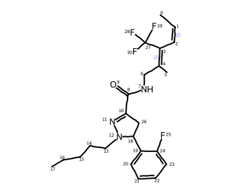 C/C=C\C(=C(/C)CNC(=O)C1=NN(CCCCC)C(c2ccccc2F)C1)C(F)(F)F